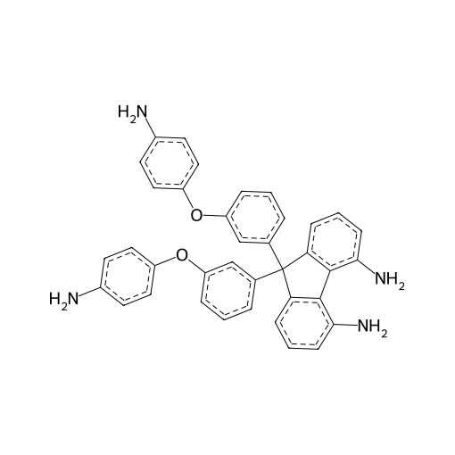 Nc1ccc(Oc2cccc(C3(c4cccc(Oc5ccc(N)cc5)c4)c4cccc(N)c4-c4c(N)cccc43)c2)cc1